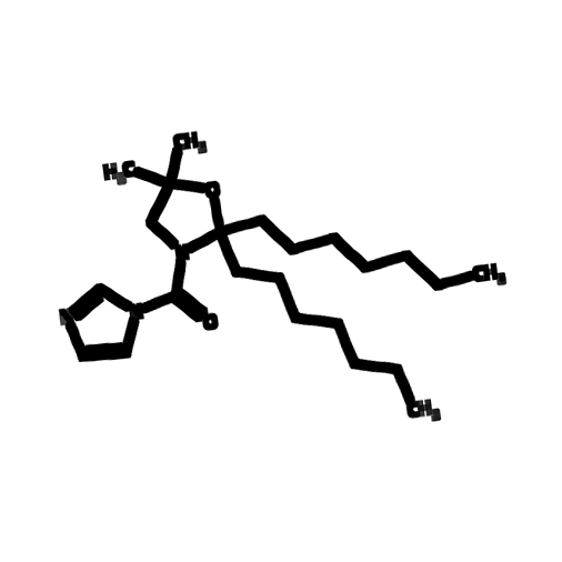 CCCCCCCC1(CCCCCCC)OC(C)(C)CN1C(=O)n1ccnc1